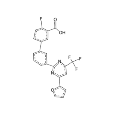 O=C(O)c1cc(-c2cccc(-c3nc(-c4ccco4)cc(C(F)(F)F)n3)c2)ccc1F